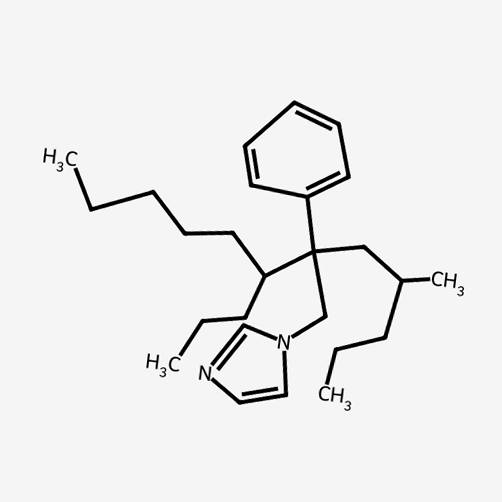 CCCCCC(CCC)C(CC(C)CCC)(Cn1ccnc1)c1ccccc1